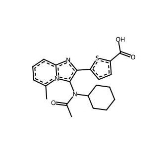 CC(=O)N(c1c(-c2ccc(C(=O)O)s2)nc2cccc(C)n12)C1CCCCC1